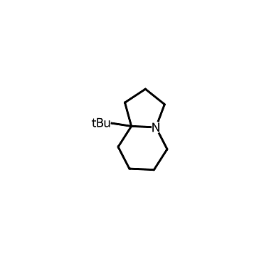 CC(C)(C)C12CCCCN1CCC2